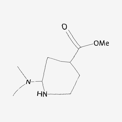 COC(=O)C1CCNC(N(C)C)C1